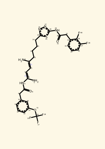 N/C(=C\C=C(/N)NC(=O)Cc1cccc(OC(F)(F)F)c1)CCCCc1nnc(NC(=O)Cc2cccc(F)c2F)s1